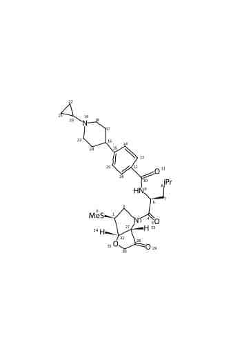 CS[C@H]1CN(C(=O)[C@H](CC(C)C)NC(=O)c2ccc(C3CCN(C4CC4)CC3)cc2)[C@@H]2C(=O)CO[C@H]12